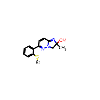 CCSc1ccccc1C1=NN2CC(C)(O)N=C2C=C1